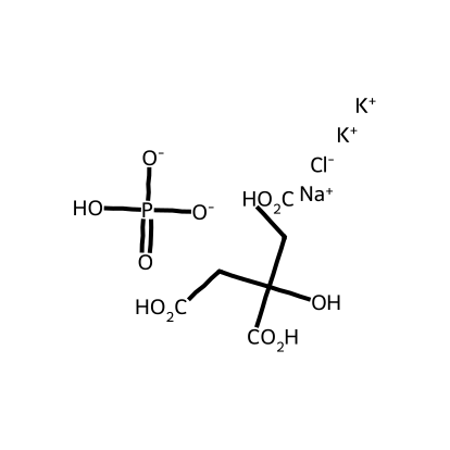 O=C(O)CC(O)(CC(=O)O)C(=O)O.O=P([O-])([O-])O.[Cl-].[K+].[K+].[Na+]